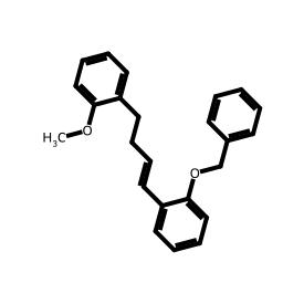 COc1ccccc1CC/C=C/c1ccccc1OCc1ccccc1